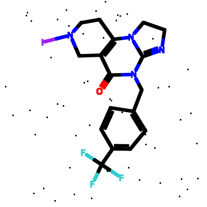 O=C1C2=C(CCN(I)C2)N2CCN=C2N1Cc1ccc(C(F)(F)F)cc1